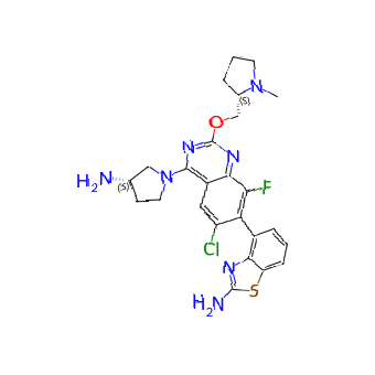 CN1CCC[C@H]1COc1nc(N2CC[C@H](N)C2)c2cc(Cl)c(-c3cccc4sc(N)nc34)c(F)c2n1